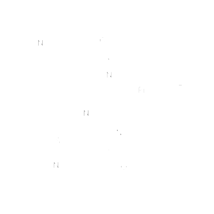 Cc1ccc(C(=O)N(CCCN(C)C)[C@@H](c2nc3snc(C)c3c(=O)n2Cc2ccccc2)C(C)C)cc1F